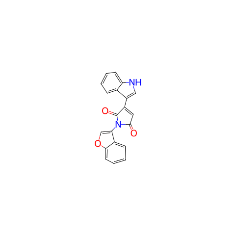 O=C1C=C(c2c[nH]c3ccccc23)C(=O)N1c1coc2ccccc12